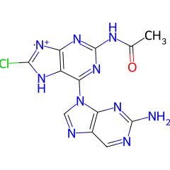 CC(=O)Nc1nc2c(c(-n3cnc4cnc(N)nc43)n1)NC(Cl)=[N+]2